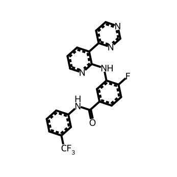 O=C(Nc1cccc(C(F)(F)F)c1)c1ccc(F)c(Nc2ncccc2-c2ccncn2)c1